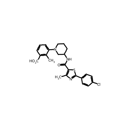 Cc1nc(-c2ccc(Cl)cc2)sc1C(=O)NC1CCCN(c2cccc(C(=O)O)c2C)C1